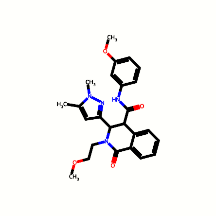 COCCN1C(=O)c2ccccc2C(C(=O)Nc2cccc(OC)c2)C1c1cc(C)n(C)n1